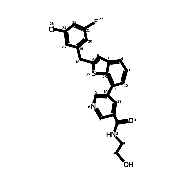 O=C(NCCO)c1cncc(-c2cccc3cc(Cc4cc(F)cc(Cl)c4)sc23)c1